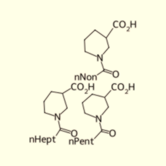 CCCCCC(=O)N1CCCC(C(=O)O)C1.CCCCCCCC(=O)N1CCCC(C(=O)O)C1.CCCCCCCCCC(=O)N1CCCC(C(=O)O)C1